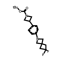 CC(C)(C)OC(=O)N1CC(c2ccc(N3CC4(C3)CC(F)(F)C4)cc2)C1